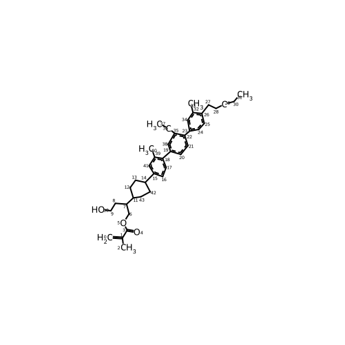 C=C(C)C(=O)OCC(CCO)C1CCC(c2ccc(-c3ccc(-c4ccc(CCCCC)c(C)c4)c(CC)c3)c(C)c2)CC1